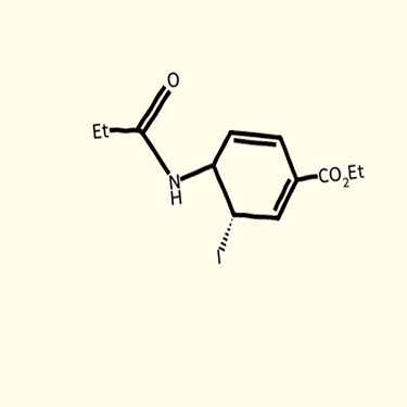 CCOC(=O)C1=C[C@H](I)C(NC(=O)CC)C=C1